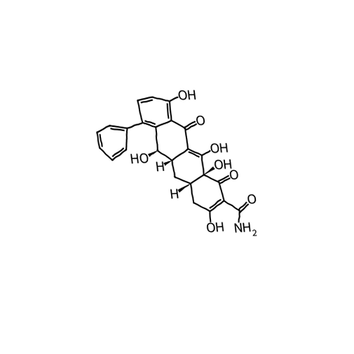 NC(=O)C1=C(O)C[C@@H]2C[C@H]3C(=C(O)[C@]2(O)C1=O)C(=O)c1c(O)ccc(-c2ccccc2)c1[C@@H]3O